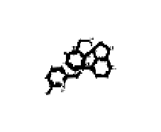 Cc1cccc(CNc2cccc3c2[C@]2(CCc4ccccc42)CC3)n1